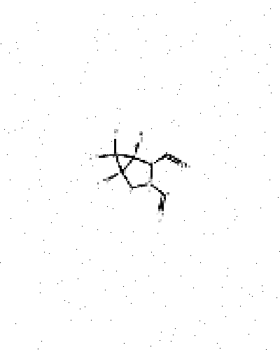 O=C[C@@H]1[C@@H]2[C@H](CN1C=O)C2(F)F